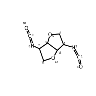 O=C=NC1COC2C(N=C=O)COC12